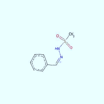 CS(=O)(=O)N/N=C\c1ccccc1